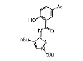 CCCCc1cn(C(C)(C)C)sc1=NC(=O)c1cc(C(C)=O)ccc1O